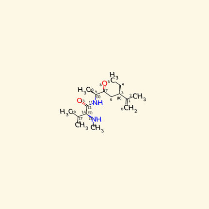 C=C(C)[C@H](CC)CC(=O)[C@H](C)NC(=O)[C@@H](NC)C(C)C